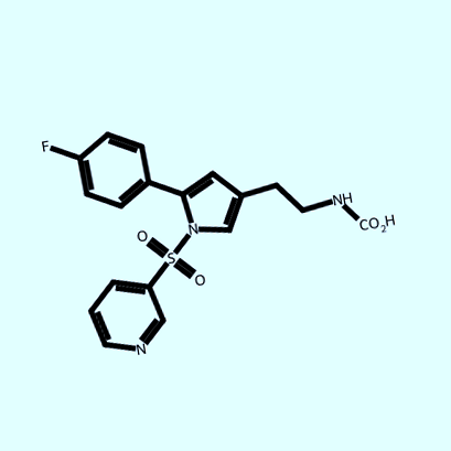 O=C(O)NCCc1cc(-c2ccc(F)cc2)n(S(=O)(=O)c2cccnc2)c1